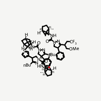 CCCCC1=N[N+](C(=O)N[C@H]2C[C@H]3CC[C@]2(C)C3(C)C)(C2(c3ccccc3F)CN(C(=O)N[C@H]3C[C@H]4C[C@@H]([C@@H]3C)C4(C)C)N=C2CCCC)CC1c1ccsc1.COCC(CC(F)(F)F)C1=NN(C(=O)N[C@H]2C[C@H]3CC[C@]2(C)C3(C)C)CC1c1ccccc1